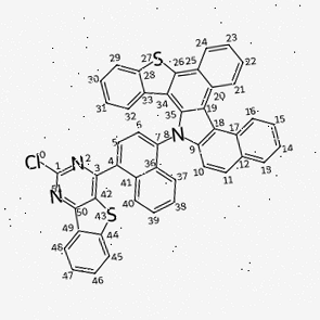 Clc1nc(-c2ccc(-n3c4ccc5ccccc5c4c4c5ccccc5c5sc6ccccc6c5c43)c3ccccc23)c2sc3ccccc3c2n1